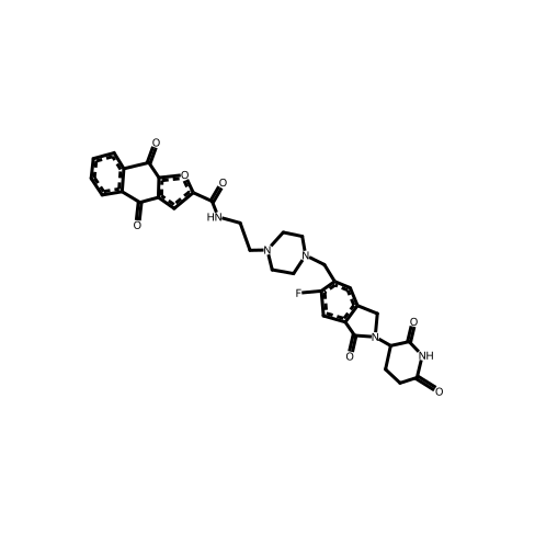 O=C1CCC(N2Cc3cc(CN4CCN(CCNC(=O)c5cc6c(o5)C(=O)c5ccccc5C6=O)CC4)c(F)cc3C2=O)C(=O)N1